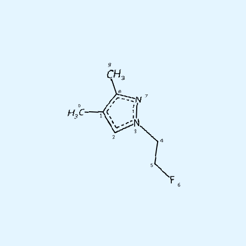 Cc1cn(CCF)nc1C